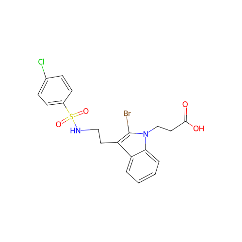 O=C(O)CCn1c(Br)c(CCNS(=O)(=O)c2ccc(Cl)cc2)c2ccccc21